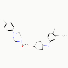 COc1cc(NC2CCC(OCC(=O)N3CCN(c4ccc(Cl)cc4)CC3)CC2)ccc1C